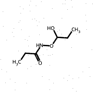 CCC(=O)NOC(O)CC